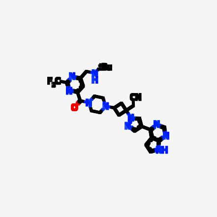 CC(C)(C)NCc1cc(C(=O)N2CCN(C3CC(CC#N)(n4cc(-c5ncnc6[nH]ccc56)cn4)C3)CC2)nc(C(F)(F)F)n1